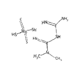 CN(C)C(=N)NC(=N)N.[S]=[Mo](=[S])([SH])[SH]